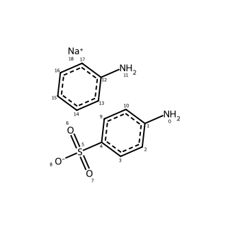 Nc1ccc(S(=O)(=O)[O-])cc1.Nc1ccccc1.[Na+]